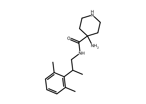 Cc1cccc(C)c1C(C)CNC(=O)C1(N)CCNCC1